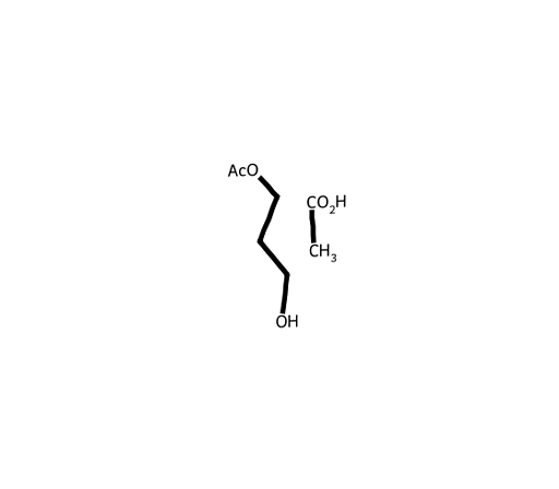 CC(=O)O.CC(=O)OCCCO